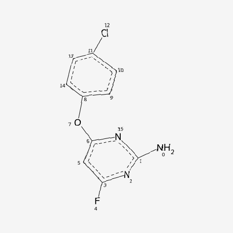 Nc1nc(F)cc(Oc2ccc(Cl)cc2)n1